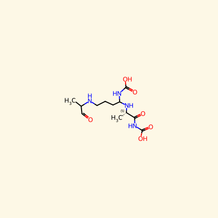 CC(C=O)NCCCC(NC(=O)O)N[C@@H](C)C(=O)NC(=O)O